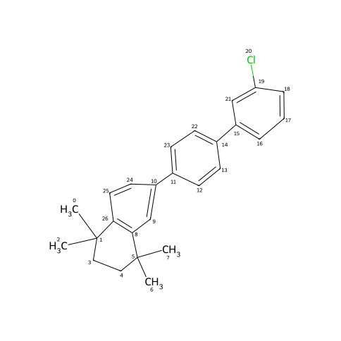 CC1(C)CCC(C)(C)c2cc(-c3ccc(-c4cccc(Cl)c4)cc3)ccc21